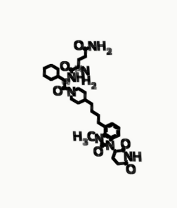 Cn1c(=O)n(C2CCC(=O)NC2=O)c2cccc(CCCCC3CCN(C(=O)[C@@H](NC(=O)[C@@H](N)CCC(N)=O)C4CCCCC4)CC3)c21